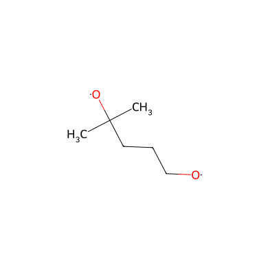 CC(C)([O])CCC[O]